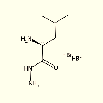 Br.Br.CC(C)C[C@H](N)C(=O)NN